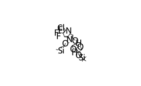 CC(C)(C)[Si](C)(C)O[C@@H]1CO[C@H]2[C@@H]1OC[C@H]2Oc1cc2nc(Cl)c(C(F)(F)F)cc2n1COCC[Si](C)(C)C